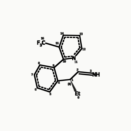 CC[C@@H](C=N)c1ccccc1-c1ncccc1C(F)(F)F